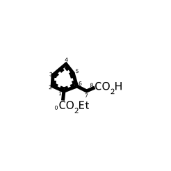 CCOC(=O)c1ccccc1CC(=O)O